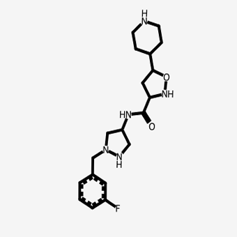 O=C(NC1CNN(Cc2cccc(F)c2)C1)C1CC(C2CCNCC2)ON1